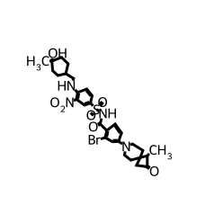 CC1C(=O)CC12CCN(c1ccc(C(=O)NS(=O)(=O)c3ccc(NCC4CCC(C)(O)CC4)c([N+](=O)[O-])c3)c(Br)c1)CC2